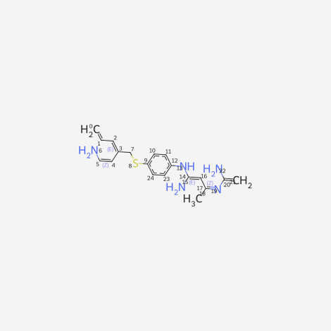 C=C/C=C(\C=C/N)CSc1ccc(N/C(N)=C/C(C)=N\C(=C)N)cc1